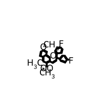 COC(=O)c1c2c(c3cc(OC)ccc3c1C)OC(c1ccc(F)cc1)(c1ccc(F)cc1)C=C2